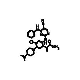 C=C(C(N)=O)c1cc(N2CCC(N(C)C)CC2)c(Cl)cc1Nc1ncc(C#N)c(Nc2ccccc2)n1